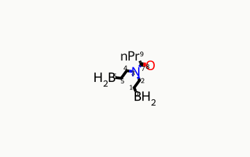 BCCN(CCB)C(=O)CCC